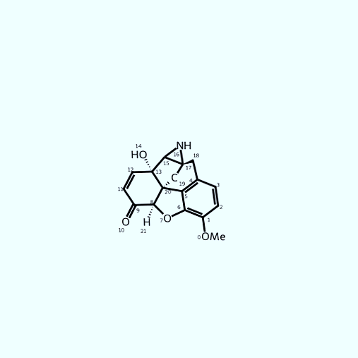 COc1ccc2c3c1O[C@H]1C(=O)C=C[C@@]4(O)C5N[C@]5(C2)C[C@]314